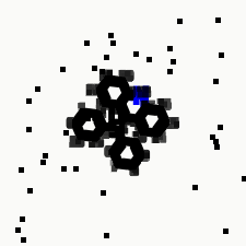 c1ccc([SiH](c2ccccc2)c2c3ccccc3nc3ccccc23)cc1